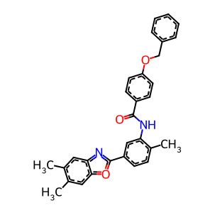 Cc1cc2nc(-c3ccc(C)c(NC(=O)c4ccc(OCc5ccccc5)cc4)c3)oc2cc1C